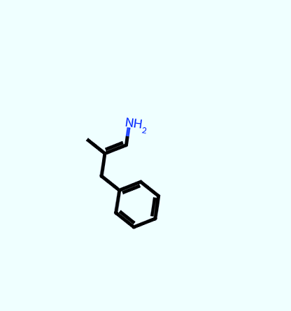 CC(=CN)Cc1ccccc1